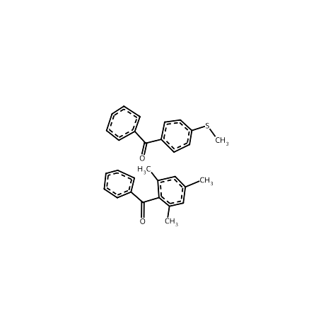 CSc1ccc(C(=O)c2ccccc2)cc1.Cc1cc(C)c(C(=O)c2ccccc2)c(C)c1